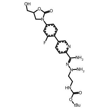 CC(C)(C)OC(=O)NCCN(N)/N=C(\N)c1ccc(-c2ccc(N3CC(CO)OC3=O)cc2F)cn1